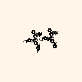 CN(c1ccc(F)cc1)C1CCC(N[C@H](Cc2ccc(Cl)cc2)C(=O)N2CCC(Cn3cncn3)(C3CCCCC3)CC2)CC1.CN(c1ccccc1)C1CCC(N[C@H](Cc2ccc(Cl)cc2)C(=O)N2CCC(Cn3cncn3)(C3CCCCC3)CC2)CC1